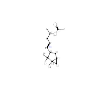 CC(=O)OC(C)C/C=C/C1CC2CC2(C)C1(C)C